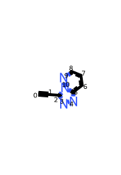 C#Cc1nnc2cccnn12